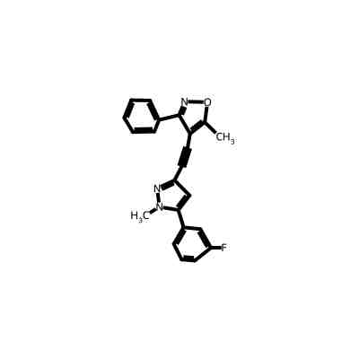 Cc1onc(-c2ccccc2)c1C#Cc1cc(-c2cccc(F)c2)n(C)n1